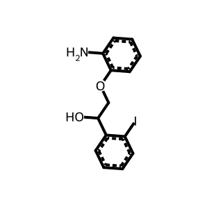 Nc1ccccc1OCC(O)c1ccccc1I